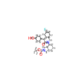 CC(C)(C)OC(=O)N1CC2CCCC(N(Cc3ccc(F)cc3)C(=O)Cc3ccc(O)cc3)C2C1